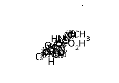 CN1CCN(CC(=O)Nc2cc(CN3C(=O)c4ccc(Cl)cc4NC(=O)[C@H]3Cc3ccccn3)ccc2C(=O)O)CC1